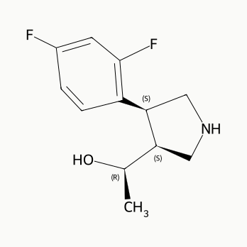 C[C@@H](O)[C@@H]1CNC[C@@H]1c1ccc(F)cc1F